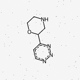 c1cc(C2CNCCO2)nnn1